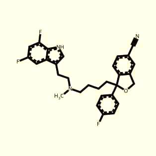 CN(CCCCC1(c2ccc(F)cc2)OCc2cc(C#N)ccc21)CCc1c[nH]c2c(F)cc(F)cc12